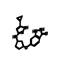 O=c1[nH][nH]c2cc(OC3CCC(Nc4cc(C5CC5)[nH]n4)C3)ccc12